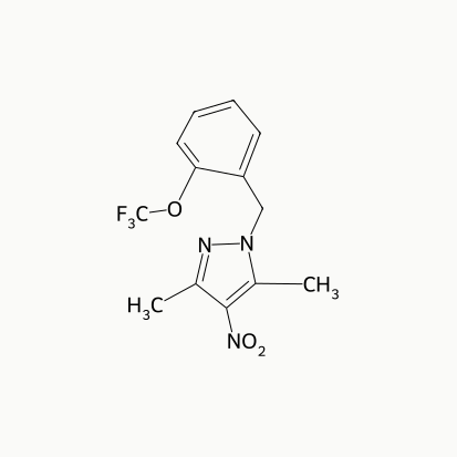 Cc1nn(Cc2ccccc2OC(F)(F)F)c(C)c1[N+](=O)[O-]